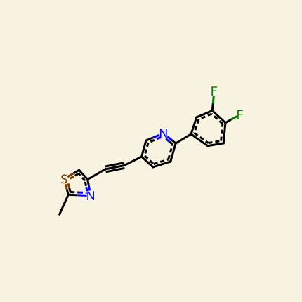 Cc1nc(C#Cc2ccc(-c3ccc(F)c(F)c3)nc2)cs1